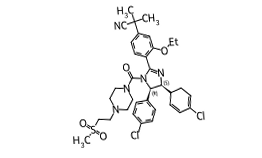 CCOc1cc(C(C)(C)C#N)ccc1C1=N[C@@H](C2C=CC(Cl)=CC2)[C@@H](c2ccc(Cl)cc2)N1C(=O)N1CCN(CCS(C)(=O)=O)CC1